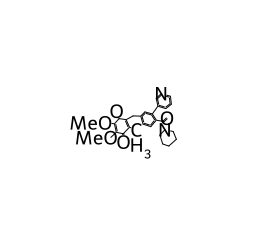 COC1=C(OC)C(=O)C(Cc2ccc(C(=O)N3CCCCC3)c(-c3cccnc3)c2)=C(C)C1=O